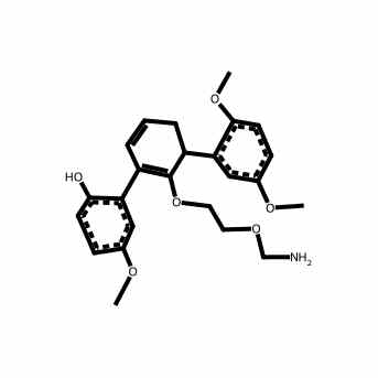 COc1ccc(O)c(C2=C(OCCOCN)C(c3cc(OC)ccc3OC)CC=C2)c1